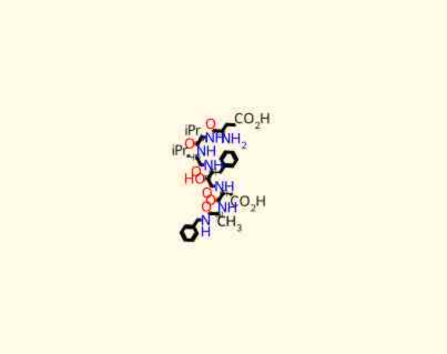 CC(C)C[C@H](NC(=O)[C@@H](NC(=O)[C@@H](N)CCC(=O)O)C(C)C)C(=O)N[C@@H](Cc1ccccc1)[C@@H](O)C(=O)N[C@@H](CC(=O)O)C(=O)N[C@@H](C)C(=O)NCc1ccccc1